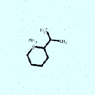 [AlH3].[CH2]C(C)C1CCCCO1